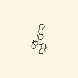 c1ccc(Cc2cccc(-c3nn4c(c3-c3ccnc5ccccc35)CCC4)n2)cc1